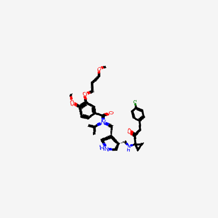 COCCCOc1cc(C(=O)N(C[C@@H]2CNC[C@H]2CNC2(C(=O)Cc3ccc(Cl)cc3)CC2)C(C)C)ccc1OC